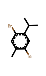 Cc1cc(Br)c(C(C)C)cc1Br